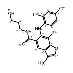 Cc1noc2c(F)c(Nc3ccc(Cl)cc3Cl)c(C(=O)NOCCO)cc12